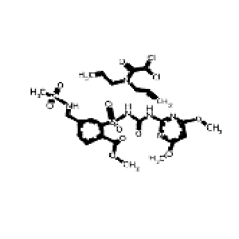 C=CCN(CC=C)C(=O)C(Cl)Cl.COC(=O)c1ccc(CNS(C)(=O)=O)cc1S(=O)(=O)NC(=O)Nc1nc(OC)cc(OC)n1